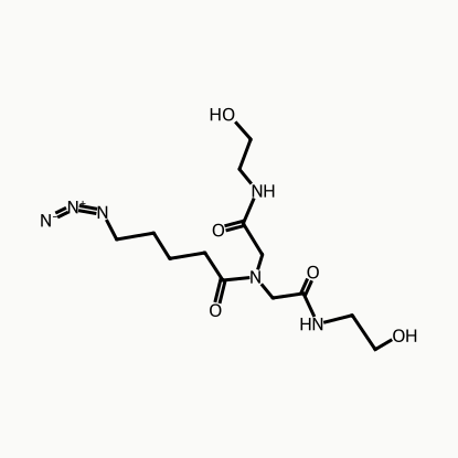 [N-]=[N+]=NCCCCC(=O)N(CC(=O)NCCO)CC(=O)NCCO